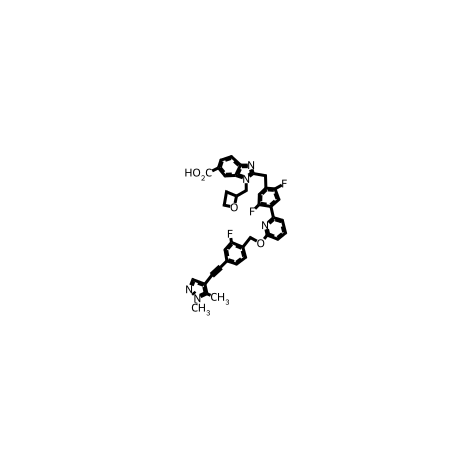 Cc1c(C#Cc2ccc(COc3cccc(-c4cc(F)c(Cc5nc6ccc(C(=O)O)cc6n5CC5CCO5)cc4F)n3)c(F)c2)cnn1C